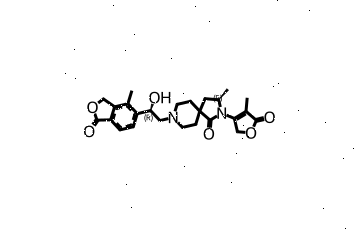 CC1=C(N2C(=O)C3(CCN(C[C@H](O)c4ccc5c(c4C)COC5=O)CC3)C[C@H]2C)COC1=O